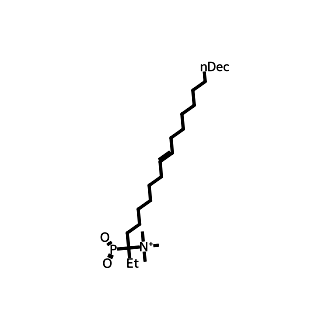 CCCCCCCCCCCCCCCCC=CCCCCCCC(CC)(P(=O)=O)[N+](C)(C)C